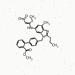 CCCc1nc2c(C)cc(NC(=C[N+](=O)[O-])SC)cc2n1Cc1ccc(-c2ccccc2C(=O)OC)cc1